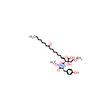 CCCCCCCC(=O)CCCCCC/C=C/[C@H](C(=O)N[C@@H](Cc1ccc(O)cc1)C(=O)NOC)[C@@](O)(CCOC)C(=O)O